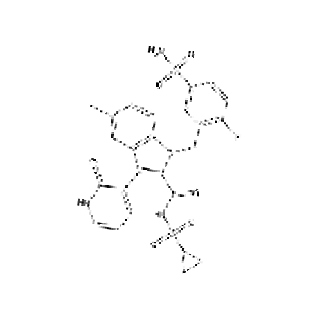 Cc1ccc2c(c1)c(-c1ccc[nH]c1=O)c(C(=O)NS(=O)(=O)C1CC1)n2Cc1cc(S(N)(=O)=O)ccc1F